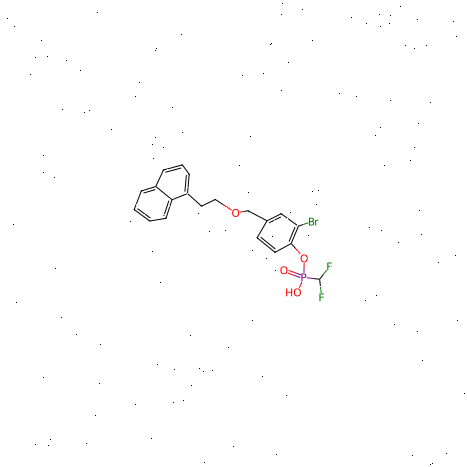 O=P(O)(Oc1ccc(COCCc2cccc3ccccc23)cc1Br)C(F)F